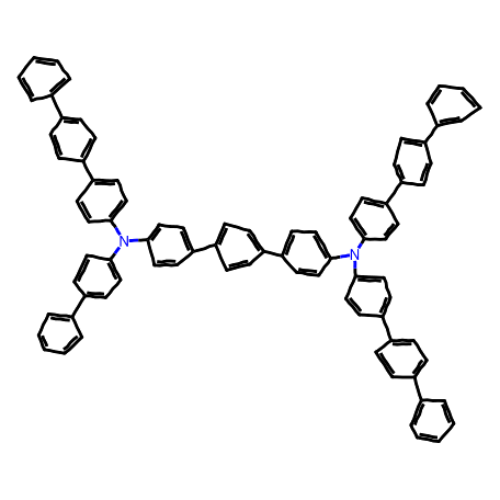 c1ccc(-c2ccc(-c3ccc(N(c4ccc(-c5ccccc5)cc4)c4ccc(-c5ccc(-c6ccc(N(c7ccc(-c8ccc(-c9ccccc9)cc8)cc7)c7ccc(-c8ccc(-c9ccccc9)cc8)cc7)cc6)cc5)cc4)cc3)cc2)cc1